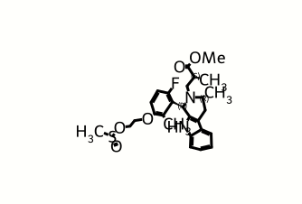 COC(=O)[C@@H](C)CN1[C@H](c2c(F)ccc(OCCOS(C)=O)c2C)c2[nH]c3ccccc3c2C[C@H]1C